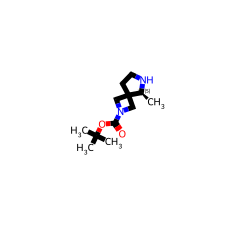 C[C@@H]1NCCC12CN(C(=O)OC(C)(C)C)C2